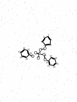 O=P(OOc1ccccc1)(OOc1ccccc1)OOc1ccccc1